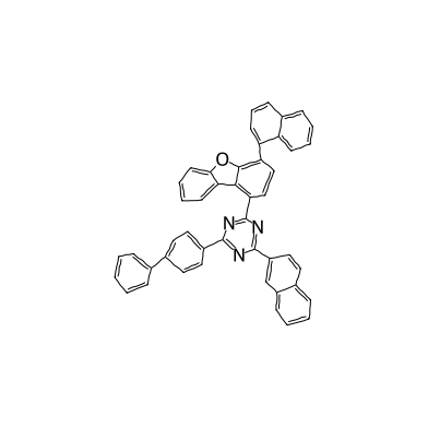 c1ccc(-c2ccc(-c3nc(-c4ccc5ccccc5c4)nc(-c4ccc(-c5cccc6ccccc56)c5oc6ccccc6c45)n3)cc2)cc1